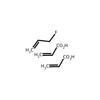 C=CC(=O)O.C=CC(=O)O.C=CCF